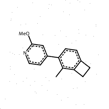 COc1cc(-c2ccc3c(c2C)CC3)ccn1